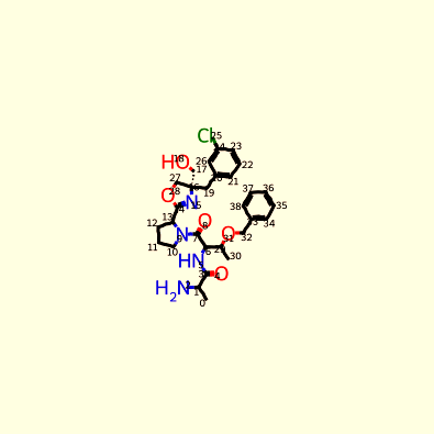 CC(N)C(=O)NC(C(=O)N1CCCC1C1=N[C@](CO)(Cc2cccc(Cl)c2)CO1)C(C)OCc1ccccc1